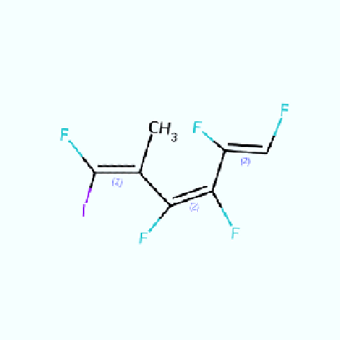 CC(=C(\F)I)/C(F)=C(F)\C(F)=C\F